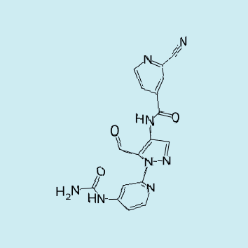 N#Cc1cc(C(=O)Nc2cnn(-c3cc(NC(N)=O)ccn3)c2C=O)ccn1